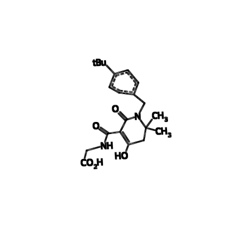 CC(C)(C)c1ccc(CN2C(=O)C(C(=O)NCC(=O)O)=C(O)CC2(C)C)cc1